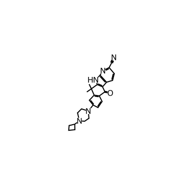 CC1(C)c2cc(N3CCN(C4CCC4)CC3)ccc2C(=O)c2c1[nH]c1nc(C#N)ccc21